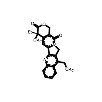 CC[C@@]1(OC(C)=O)C(=O)OCc2c1cc1n(c2=O)Cc2c-1nc1ccccc1c2COC(C)=O